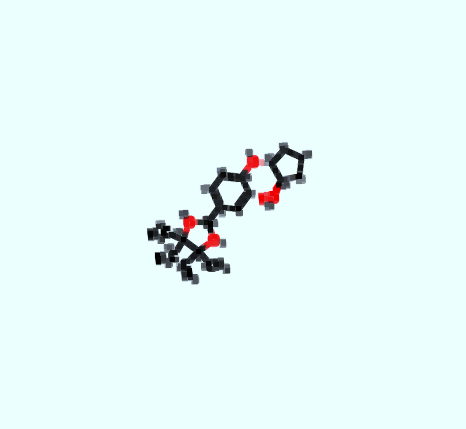 CC1(C)OB(c2ccc(O[C@@H]3CCC[C@H]3O)cc2)OC1(C)C